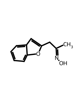 CC(Cc1cc2ccccc2o1)=NO